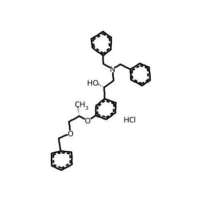 C[C@@H](COCc1ccccc1)Oc1cccc([C@H](O)CN(Cc2ccccc2)Cc2ccccc2)c1.Cl